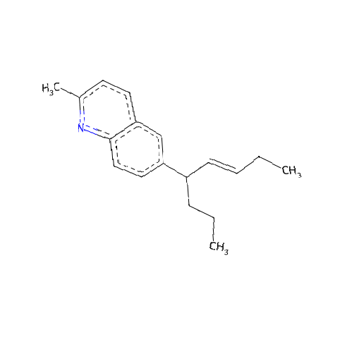 CCC=CC(CCC)c1ccc2nc(C)ccc2c1